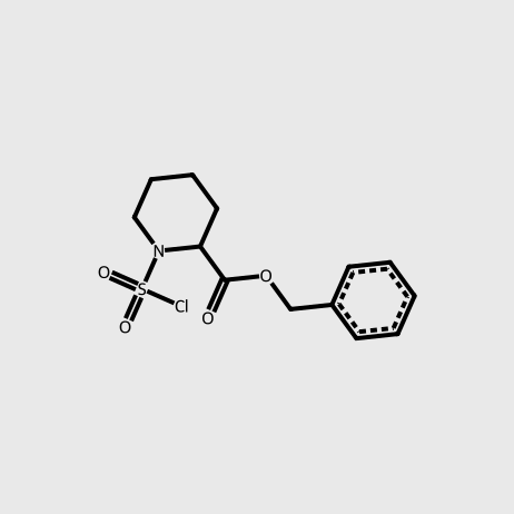 O=C(OCc1ccccc1)C1CCCCN1S(=O)(=O)Cl